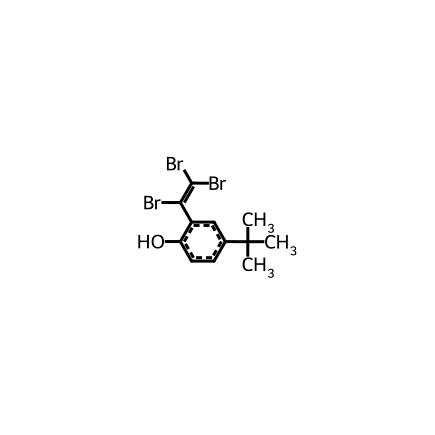 CC(C)(C)c1ccc(O)c(C(Br)=C(Br)Br)c1